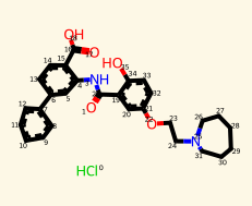 Cl.O=C(Nc1cc(-c2ccccc2)ccc1C(=O)O)c1cc(OCCN2CCCCCC2)ccc1O